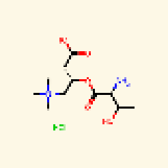 C[C@@H](O)[C@H](N)C(=O)O[C@@H](CC(=O)O)C[N+](C)(C)C.Cl